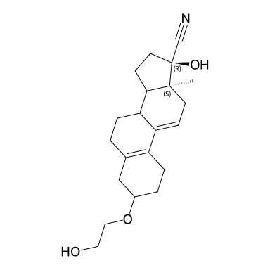 C[C@]12CC=C3C4=C(CCC3C1CC[C@]2(O)C#N)CC(OCCO)CC4